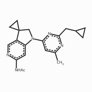 CC(=O)Nc1cc2c(cn1)C1(CC1)CN2c1cc(C)nc(CC2CC2)n1